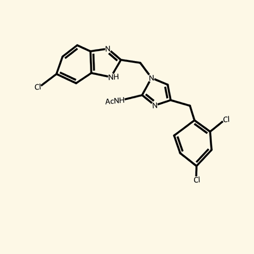 CC(=O)Nc1nc(Cc2ccc(Cl)cc2Cl)cn1Cc1nc2ccc(Cl)cc2[nH]1